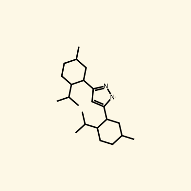 CC1CCC(C(C)C)C(C2=CC(C3CC(C)CCC3C(C)C)=N[N]2)C1